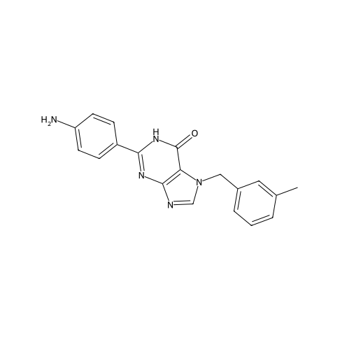 Cc1cccc(Cn2cnc3nc(-c4ccc(N)cc4)[nH]c(=O)c32)c1